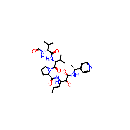 CCCC(NC(=O)[C@@H]1CCCN1C(=O)[C@@H](NC(=O)[C@H](NC=O)C(C)C)C(C)C)C(=O)C(=O)N[C@H](C)c1ccncc1